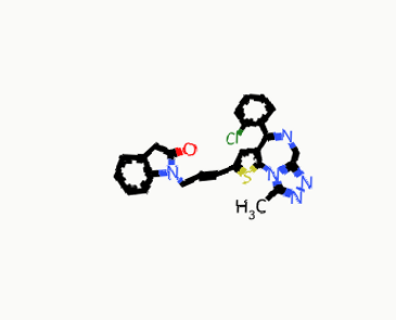 Cc1nnc2n1-c1sc(C#CCN3C(=O)Cc4ccccc43)cc1C(c1ccccc1Cl)=NC2